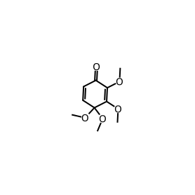 COC1=C(OC)C(OC)(OC)C=CC1=O